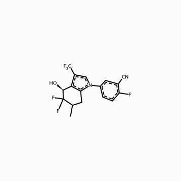 CC1Cc2c(c(C(F)(F)F)cn2-c2ccc(F)c(C#N)c2)[C@H](O)C1(F)F